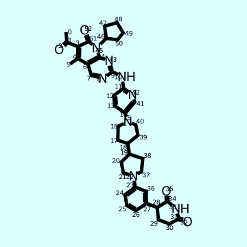 CC(=O)c1c(C)c2cnc(Nc3ccc(N4CCC(C5CCN(c6cccc(C7CCC(=O)NC7=O)c6)CC5)CC4)cn3)nc2n(C2CCCC2)c1=O